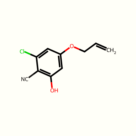 C=CCOc1cc(O)c(C#N)c(Cl)c1